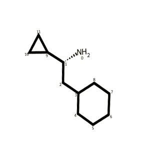 N[C@H](CC1CCCCC1)C1CC1